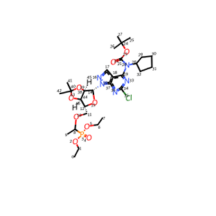 CCOP(=O)(OCC)C(C)OC[C@H]1O[C@@H](n2ncc3c(N(C(=O)OC(C)(C)C)C4CCCC4)nc(Cl)nc32)[C@@H]2OC(C)(C)O[C@@H]21